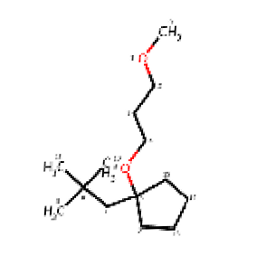 COCCCOC1(CC(C)(C)C)CCCC1